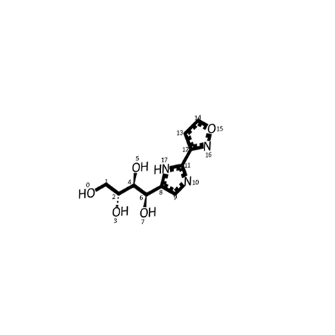 OC[C@@H](O)[C@@H](O)[C@H](O)c1cnc(-c2ccon2)[nH]1